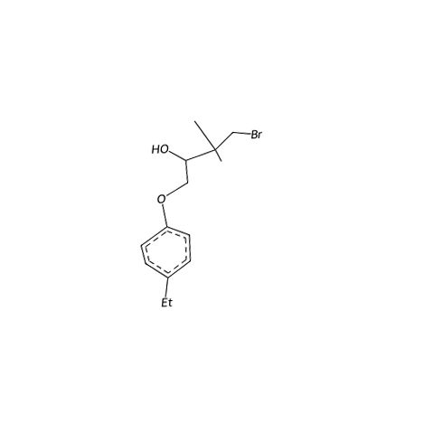 CCc1ccc(OCC(O)C(C)(C)CBr)cc1